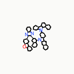 c1ccc2cc3c(cc2c1)c1ccc(-n2c4ccccc4c4ccc5ccccc5c42)cc1n3-c1cc(-c2nc3ccccc3nc2-c2ccc3oc4ccccc4c3c2)cc2ccccc12